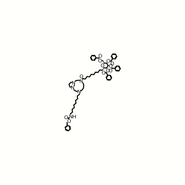 O=C(NCCCCCCCCCCN1CCCCN(C(=O)CCCCCCCCC[C@H]2O[C@@H](COC(=O)c3ccccc3)[C@H](OC(=O)c3ccccc3)[C@@H](OC(=O)c3ccccc3)[C@@H]2OC(=O)c2ccccc2)CCN2CCCN(CC1)C2)OCc1ccccc1